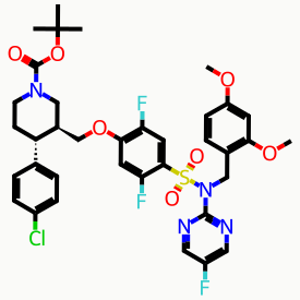 COc1ccc(CN(c2ncc(F)cn2)S(=O)(=O)c2cc(F)c(OC[C@@H]3CN(C(=O)OC(C)(C)C)CC[C@H]3c3ccc(Cl)cc3)cc2F)c(OC)c1